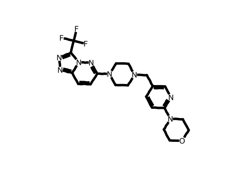 FC(F)(F)c1nnc2ccc(N3CCN(Cc4ccc(N5CCOCC5)nc4)CC3)nn12